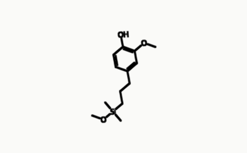 COc1cc(CCC[Si](C)(C)OC)ccc1O